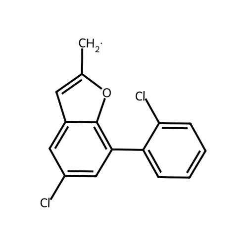 [CH2]c1cc2cc(Cl)cc(-c3ccccc3Cl)c2o1